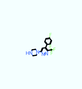 Fc1ccc(-c2cc(N3CCNCC3)nnc2C(F)(F)F)cc1